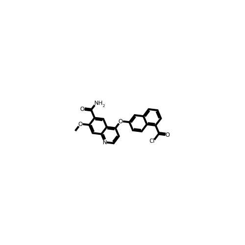 COc1cc2nccc(Oc3ccc4c(C(=O)Cl)cccc4c3)c2cc1C(N)=O